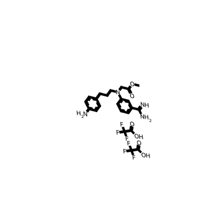 COC(=O)CN(CCCc1ccc(N)cc1)c1cccc(C(=N)N)c1.O=C(O)C(F)(F)F.O=C(O)C(F)(F)F